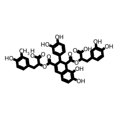 Cc1cc(CC(OC(=O)C2=Cc3ccc(O)c(O)c3C(C(=O)OC(Cc3ccc(O)c(O)c3)C(=O)O)C2c2ccc(O)c(O)c2)C(=O)O)ccc1O